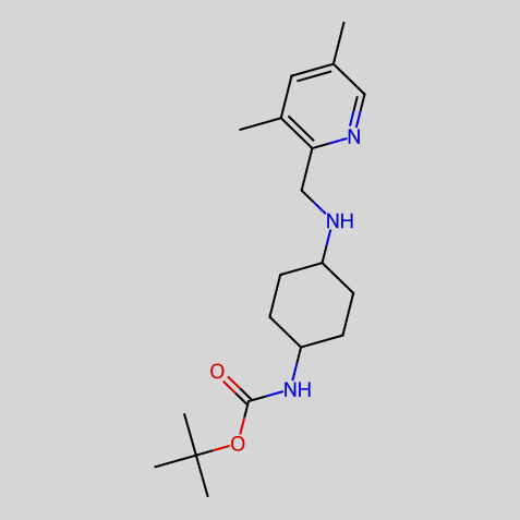 Cc1cnc(CNC2CCC(NC(=O)OC(C)(C)C)CC2)c(C)c1